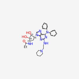 CCC(=O)N[C@H]1C[C@@H](n2cnc3c(N(c4ccccc4)c4ccccc4)nc(NCCN4CCCCC4)nc32)[C@H](O)[C@@H]1O